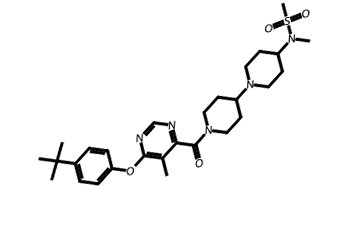 Cc1c(Oc2ccc(C(C)(C)C)cc2)ncnc1C(=O)N1CCC(N2CCC(N(C)S(C)(=O)=O)CC2)CC1